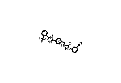 Cn1c(-c2ccccc2C(F)(F)F)nnc1C12CCC(CNC(=O)Nc3cccc(C#N)c3)(CC1)CC2